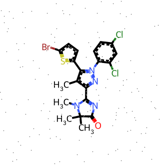 Cc1c(C2=NC(=O)C(C)(C)N2C)nn(-c2ccc(Cl)cc2Cl)c1-c1ccc(Br)s1